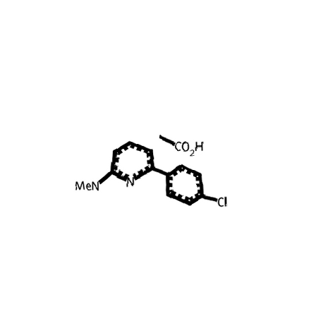 CC(=O)O.CNc1cccc(-c2ccc(Cl)cc2)n1